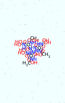 C[C@H](O)C(=O)Nc1c(I)c(C(=O)NC(CO)CO)c(I)c(C(=O)N2CCN(C(=O)c3c(I)c(NC(=O)[C@H](C)O)c(I)c(C(=O)NC(CO)CO)c3I)CCN(C(=O)c3c(I)c(NC(=O)[C@H](C)O)c(I)c(C(=O)NC(CO)CO)c3I)CC2)c1I